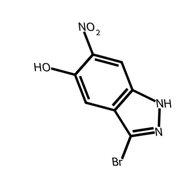 O=[N+]([O-])c1cc2[nH]nc(Br)c2cc1O